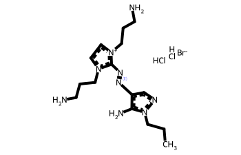 CCCn1ncc(/N=N/c2n(CCCN)cc[n+]2CCCN)c1N.Cl.Cl.[Br-]